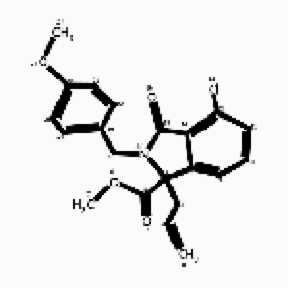 C=CCC1(C(=O)OC)c2cccc(Cl)c2C(=O)N1Cc1ccc(OC)cc1